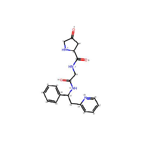 O=C1CNC(C(=O)NCC(=O)NC(Cc2ccccn2)c2ccccc2)C1